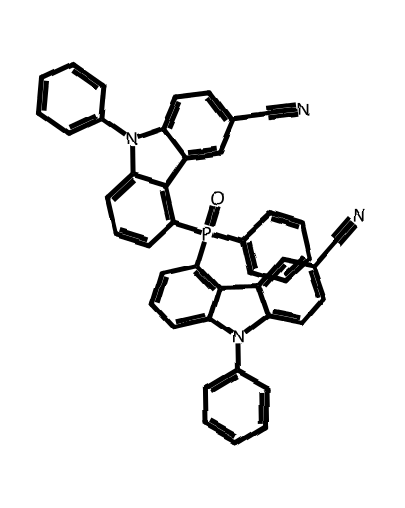 N#Cc1ccc2c(c1)c1c(P(=O)(c3ccccc3)c3cccc4c3c3cc(C#N)ccc3n4-c3ccccc3)cccc1n2-c1ccccc1